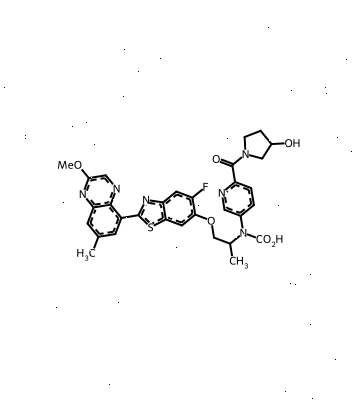 COc1cnc2c(-c3nc4cc(F)c(OCC(C)N(C(=O)O)c5ccc(C(=O)N6CCC(O)C6)nc5)cc4s3)cc(C)cc2n1